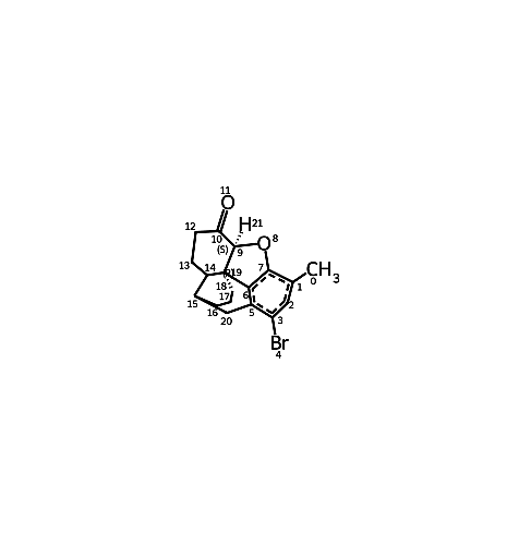 Cc1cc(Br)c2c3c1O[C@@H]1C(=O)CCC4C(CCC[C@]341)C2